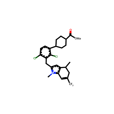 COC(=O)C1CCC(c2ccc(Cl)c(Cc3cc4c(n3C)C=C(C(F)(F)F)CC4C)c2Cl)CC1